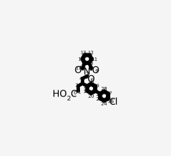 O=C(O)CCC(CC(=O)N1C(=O)c2ccccc2C1=O)c1ccc(-c2ccc(Cl)cc2)cc1